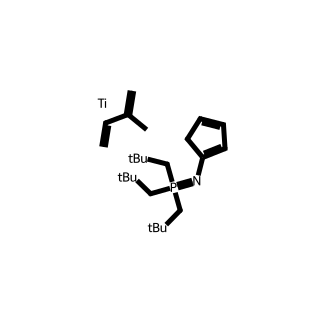 C=CC(=C)C.CC(C)(C)CP(CC(C)(C)C)(CC(C)(C)C)=NC1=CC=CC1.[Ti]